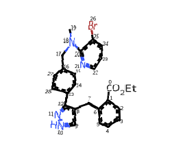 CCOC(=O)c1ccccc1Cc1c[nH]nc1-c1ccc(CN(C)c2ncccc2Br)cc1